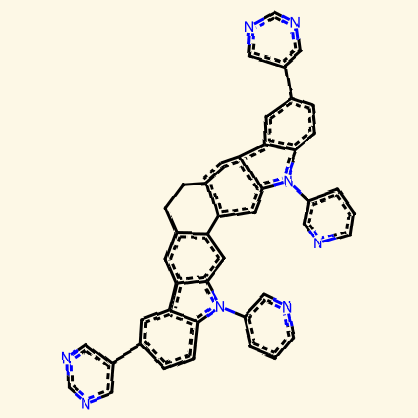 c1cncc(-n2c3ccc(-c4cncnc4)cc3c3cc4c(cc32)-c2cc3c(cc2CC4)c2cc(-c4cncnc4)ccc2n3-c2cccnc2)c1